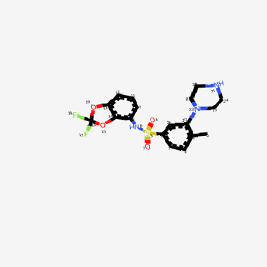 Cc1ccc(S(=O)(=O)Nc2cccc3c2OC(F)(F)O3)cc1N1CCNCC1